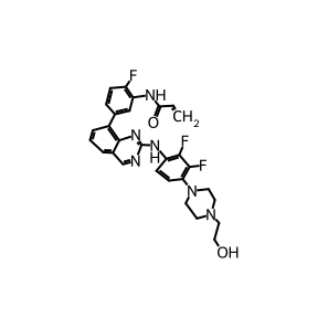 C=CC(=O)Nc1cc(-c2cccc3cnc(Nc4ccc(N5CCN(CCO)CC5)c(F)c4F)nc23)ccc1F